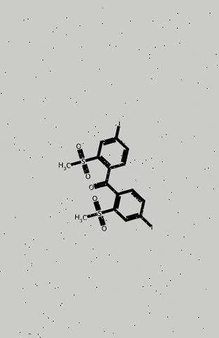 CS(=O)(=O)c1cc(I)ccc1C(=O)c1ccc(I)cc1S(C)(=O)=O